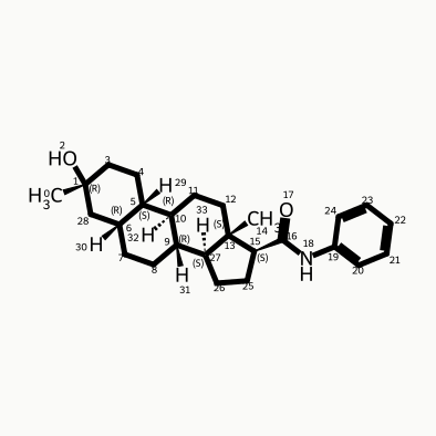 C[C@@]1(O)CC[C@H]2[C@H](CC[C@@H]3[C@@H]2CC[C@]2(C)[C@@H](C(=O)Nc4ccccc4)CC[C@@H]32)C1